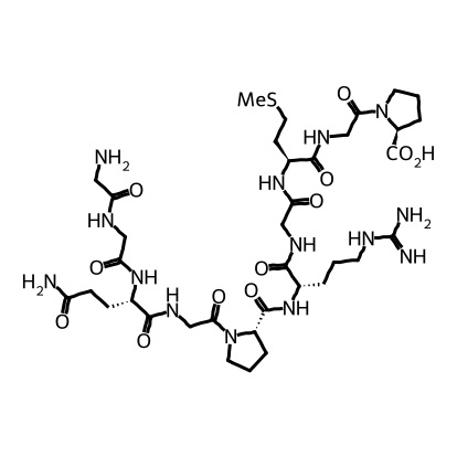 CSCC[C@H](NC(=O)CNC(=O)[C@H](CCCNC(=N)N)NC(=O)[C@@H]1CCCN1C(=O)CNC(=O)[C@H](CCC(N)=O)NC(=O)CNC(=O)CN)C(=O)NCC(=O)N1CCC[C@H]1C(=O)O